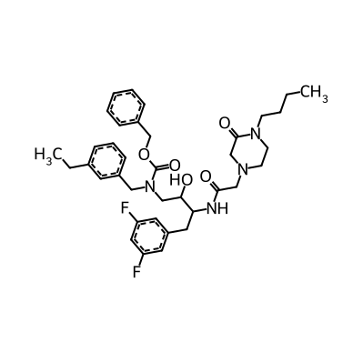 CCCCN1CCN(CC(=O)NC(Cc2cc(F)cc(F)c2)C(O)CN(Cc2cccc(CC)c2)C(=O)OCc2ccccc2)CC1=O